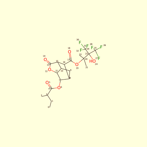 CCC(C)C(=O)OC1C2CC3C1OC(=O)C3C2C(=O)OC(C)(C)C(O)(C(F)(F)F)C(F)(F)F